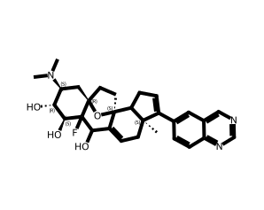 CN(C)[C@H]1C[C@@]23CC[C@@]4(O2)C(=CC[C@]2(C)C(c5ccc6ncncc6c5)=CCC24)C(O)C3(F)[C@@H](O)[C@@H]1O